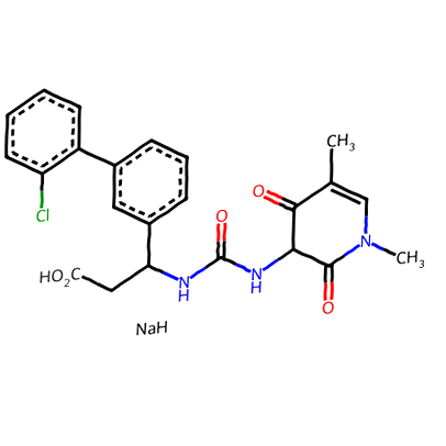 CC1=CN(C)C(=O)C(NC(=O)NC(CC(=O)O)c2cccc(-c3ccccc3Cl)c2)C1=O.[NaH]